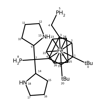 CC(C)(C)[C]12[CH]3[C]4(CP)[C]5(C(P)(C6CCCN6)C6CCCN6)[C]1(C(C)(C)C)[Fe]34251678[CH]2[CH]1[CH]6[CH]7[CH]28